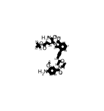 COc1cc(C(=O)N2CCO[C@@H](CC#Cc3cccc4c3CN([C@@H](CCC(=O)OC(C)(C)C)C(N)=O)C4=O)C2)ccc1N